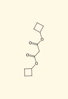 O=C(CC(=O)OC1CCC1)OC1CCC1